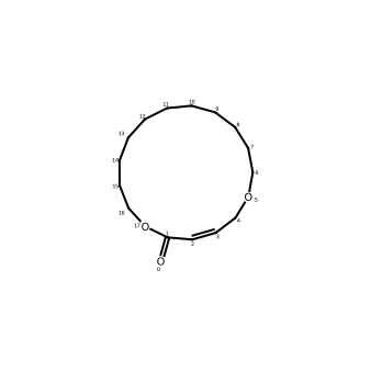 O=C1C=CCOCCCCCCCCCCCO1